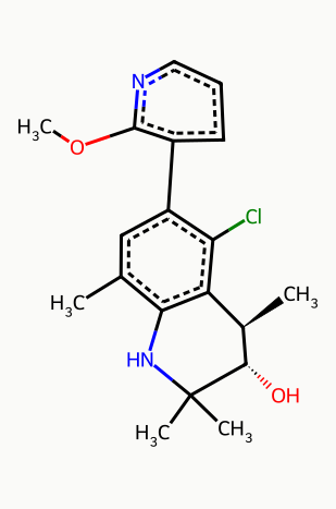 COc1ncccc1-c1cc(C)c2c(c1Cl)[C@@H](C)[C@H](O)C(C)(C)N2